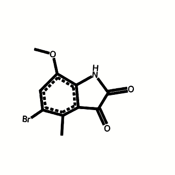 COc1cc(Br)c(C)c2c1NC(=O)C2=O